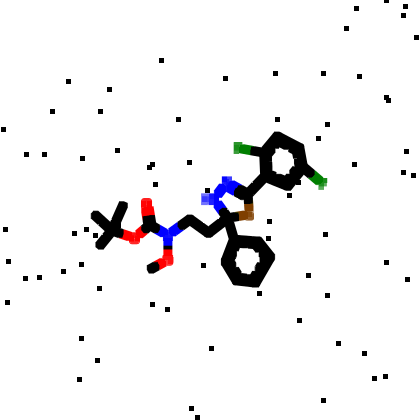 CON(CCC1(c2ccccc2)NN=C(c2cc(F)ccc2F)S1)C(=O)OC(C)(C)C